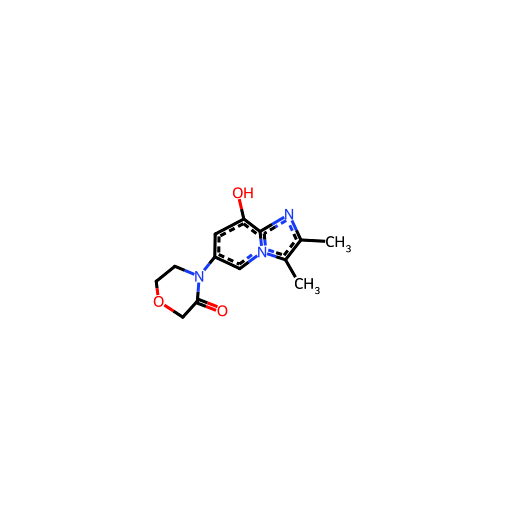 Cc1nc2c(O)cc(N3CCOCC3=O)cn2c1C